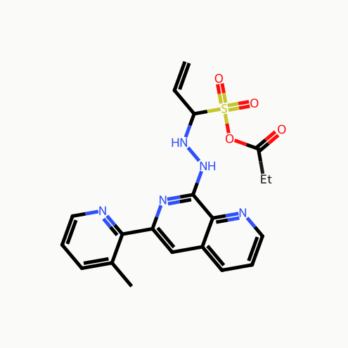 C=CC(NNc1nc(-c2ncccc2C)cc2cccnc12)S(=O)(=O)OC(=O)CC